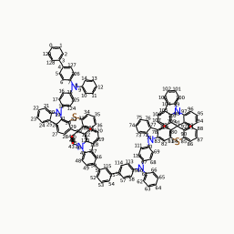 c1ccc(-c2ccc(N(c3ccccc3)c3ccc(-n4c5ccccc5c5ccc6c(c54)Sc4ccccc4C64c5ccccc5-n5c6ccc(-c7cccc(-c8ccc(N(c9ccccc9)c9ccc(-n%10c%11ccccc%11c%11cc%12c(cc%11%10)Sc%10ccccc%10C%12%10c%11ccccc%11-n%11c%12ccccc%12c%12cccc%10c%12%11)cc9)cc8)c7)cc6c6cccc4c65)cc3)cc2)cc1